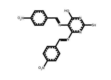 O=[N+]([O-])c1ccc(/C=N/c2nc(S)nc(O)c2/N=C/c2ccc([N+](=O)[O-])cc2)cc1